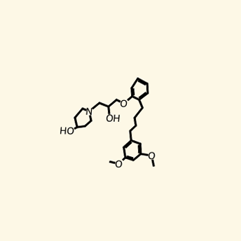 COc1cc(CCCCc2ccccc2OCC(O)CN2CCC(O)CC2)cc(OC)c1